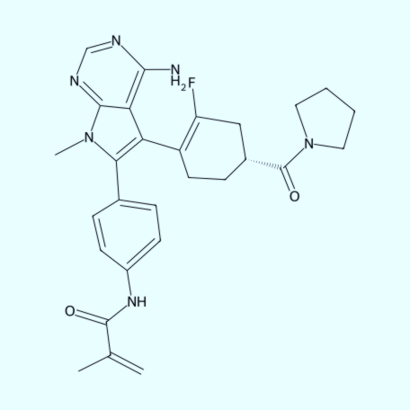 C=C(C)C(=O)Nc1ccc(-c2c(C3=C(F)C[C@H](C(=O)N4CCCC4)CC3)c3c(N)ncnc3n2C)cc1